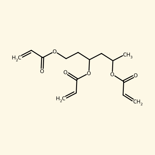 C=CC(=O)OCCC(CC(C)OC(=O)C=C)OC(=O)C=C